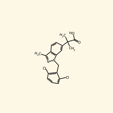 Cc1nn(Cc2c(Cl)cccc2Cl)c2cc(C(C)(C)C(=O)O)ccc12